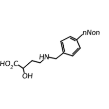 CCCCCCCCCc1ccc(CNCCC(O)C(=O)O)cc1